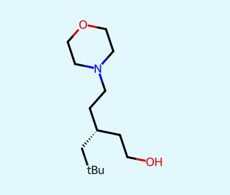 CC(C)(C)C[C@@H](CCO)CCN1CCOCC1